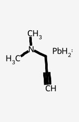 C#CCN(C)C.[PbH2]